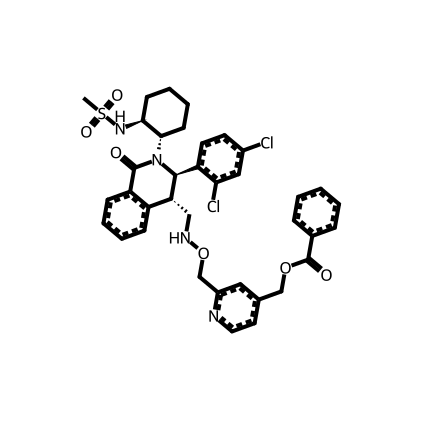 CS(=O)(=O)N[C@H]1CCCC[C@@H]1N1C(=O)c2ccccc2[C@@H](CNOCc2cc(COC(=O)c3ccccc3)ccn2)[C@@H]1c1ccc(Cl)cc1Cl